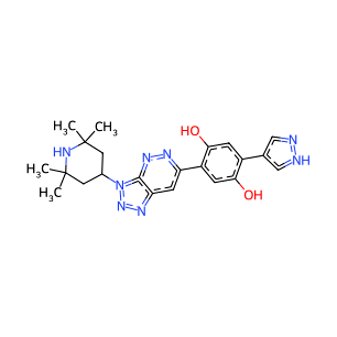 CC1(C)CC(n2nnc3cc(-c4cc(O)c(-c5cn[nH]c5)cc4O)nnc32)CC(C)(C)N1